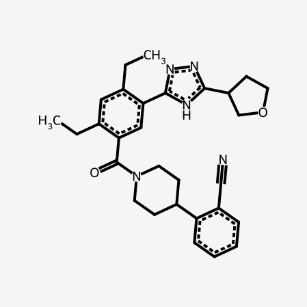 CCc1cc(CC)c(-c2nnc(C3CCOC3)[nH]2)cc1C(=O)N1CCC(c2ccccc2C#N)CC1